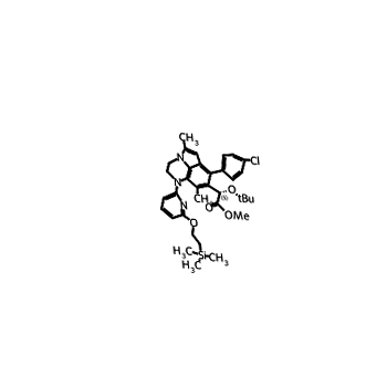 COC(=O)[C@@H](OC(C)(C)C)c1c(C)c2c3c(cc(C)n3CCN2c2cccc(OCC[Si](C)(C)C)n2)c1-c1ccc(Cl)cc1